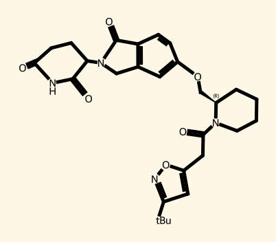 CC(C)(C)c1cc(CC(=O)N2CCCC[C@@H]2COc2ccc3c(c2)CN(C2CCC(=O)NC2=O)C3=O)on1